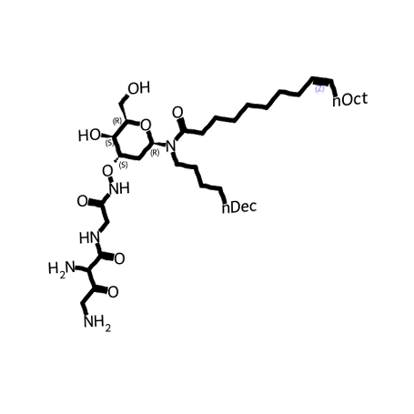 CCCCCCCC/C=C\CCCCCCCC(=O)N(CCCCCCCCCCCCCC)[C@H]1C[C@H](ONC(=O)CNC(=O)C(N)C(=O)CN)[C@@H](O)[C@@H](CO)O1